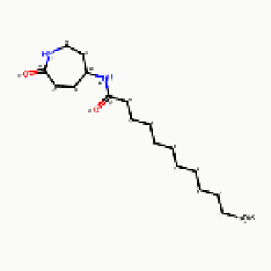 CCCCCCCCCCCCCCCCCCCCC(=O)NC1CCNC(=O)CC1